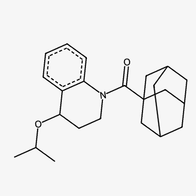 CC(C)OC1CCN(C(=O)C23CC4CC(CC(C4)C2)C3)c2ccccc21